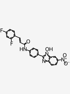 O=C(/C=C/c1ccc(F)cc1F)Nc1ccc(-c2nc3ccc([N+](=O)[O-])cc3n2O)cc1